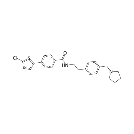 O=C(NCCc1ccc(CN2CCCC2)cc1)c1ccc(-c2ccc(Cl)s2)cc1